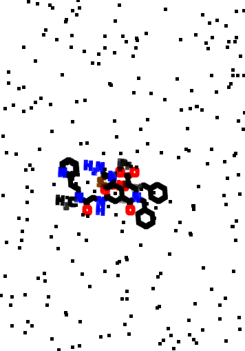 CC(C)OC(=O)[C@H](O)[C@H](CC1CCCCC1)N(CC1CCCCC1)C(=O)[C@@H](CC(=O)NCC(=O)N(C)CCc1ccccn1)Cc1csc(N)n1